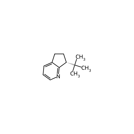 CC(C)(C)[C@H]1CCc2cccnc21